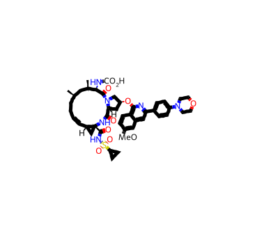 COc1ccc2c(O[C@@H]3C[C@H]4C(=O)N[C@]5(C(=O)NS(=O)(=O)C6CC6)C[C@H]5/C=C\CC[C@@H](C)C[C@@H](C)[C@H](NC(=O)O)C(=O)N4C3)nc(-c3ccc(N4CCOCC4)cc3)cc2c1